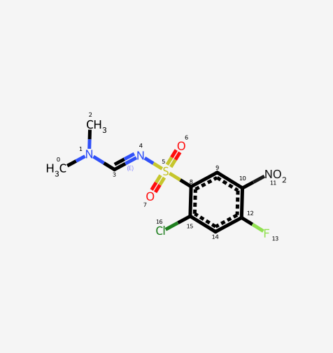 CN(C)/C=N/S(=O)(=O)c1cc([N+](=O)[O-])c(F)cc1Cl